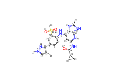 Cc1nc2c(Nc3ccc(-c4nn(C)cc4C)cc3S(C)(=O)=O)cc(NC(=O)C3CC3)nc2[nH]1